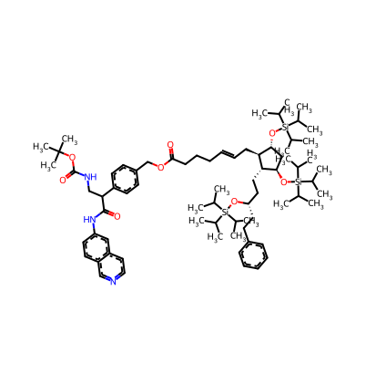 CC(C)[Si](O[C@@H](CCc1ccccc1)CC[C@@H]1[C@@H](CC=CCCCC(=O)OCc2ccc(C(CNC(=O)OC(C)(C)C)C(=O)Nc3ccc4cnccc4c3)cc2)[C@H](O[Si](C(C)C)(C(C)C)C(C)C)C[C@H]1O[Si](C(C)C)(C(C)C)C(C)C)(C(C)C)C(C)C